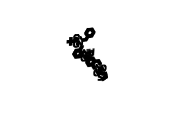 C[C@@H](CC1CCCCC1)N(Cc1ccccc1NS(=O)(=O)c1ccc2c(c1)CCN(S(=O)(=O)c1cccs1)C2)OC(=O)C(C)(C)C